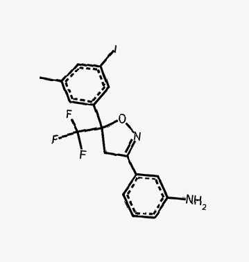 Cc1cc(I)cc(C2(C(F)(F)F)CC(c3cccc(N)c3)=NO2)c1